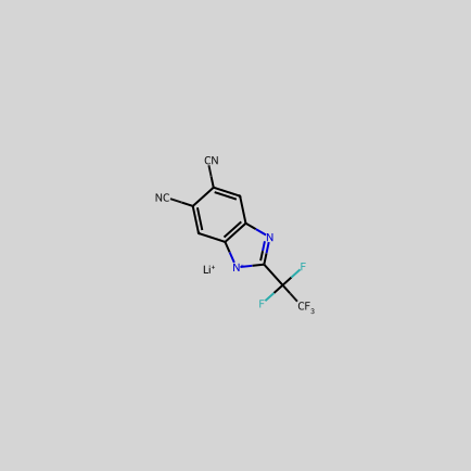 N#Cc1cc2nc(C(F)(F)C(F)(F)F)[n-]c2cc1C#N.[Li+]